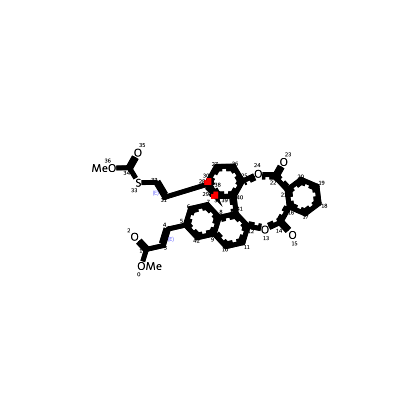 COC(=O)/C=C/c1ccc2c(ccc3oc(=O)c4ccccc4c(=O)oc4ccc5cc(/C=C/SC(=O)OC)ccc5c4c32)c1